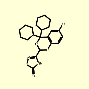 O=c1[nH]c(C2Oc3ccc(Cl)cc3C(C3CCCCC3)(C3CCCCC3)O2)no1